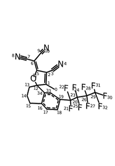 CC1=C(C#N)C(=C(C#N)C#N)OC12CCCc1ccc(C(F)(F)C(F)(F)C(F)(F)C(F)(F)F)cc12